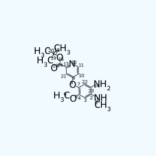 CNc1cc(OC)c(Oc2ccnc(C(=O)OC(C)(C)C)c2)cc1N